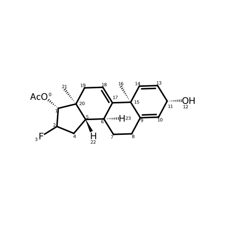 CC(=O)O[C@H]1C(F)C[C@H]2[C@@H]3CCC4=C[C@@H](O)C=C[C@]4(C)C3=CC[C@]12C